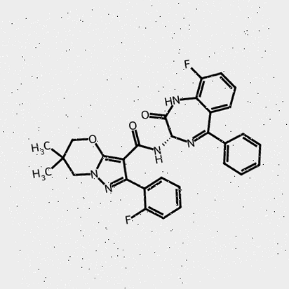 CC1(C)COc2c(C(=O)N[C@H]3N=C(c4ccccc4)c4cccc(F)c4NC3=O)c(-c3ccccc3F)nn2C1